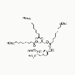 CCCCCCCCCCCCCCCCCC(=O)OCC(COC(=O)CCCCCCCCCCCCCCCCC)OC(=O)CCCCCCCCCCCCCCCCC.CCCCCNC(Cc1ccc(O)cc1)C(=O)O